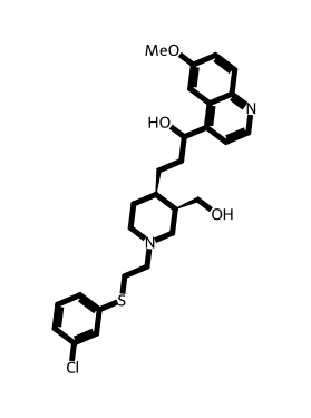 COc1ccc2nccc(C(O)CC[C@@H]3CCN(CCSc4cccc(Cl)c4)C[C@@H]3CO)c2c1